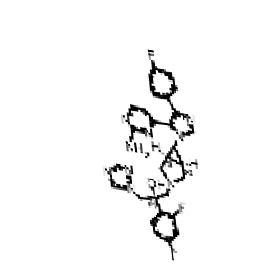 Nc1nccc(-c2c(-c3ccc(F)cc3)ncn2C2[C@H]3CN(C[C@@](O)(Cn4cncn4)c4ccc(F)cc4F)C[C@@H]23)n1